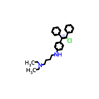 CCN(CC)CCCCNc1ccc(/C(=C(\Cl)c2ccccc2)c2ccccc2)cc1